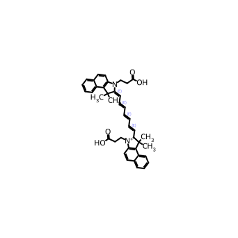 CC1(C)C(/C=C/C=C/C=C/C=C2/N(CCC(=O)O)c3ccc4ccccc4c3C2(C)C)=[N+](CCC(=O)O)c2ccc3ccccc3c21